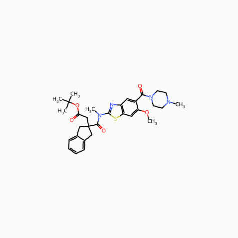 COc1cc2sc(N(C)C(=O)C3(CC(=O)OC(C)(C)C)Cc4ccccc4C3)nc2cc1C(=O)N1CCN(C)CC1